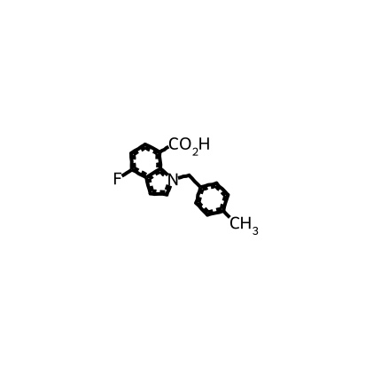 Cc1ccc(Cn2ccc3c(F)ccc(C(=O)O)c32)cc1